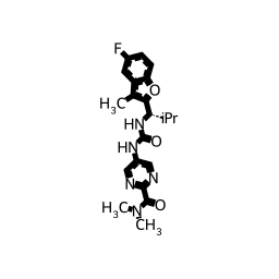 Cc1c([C@@H](NC(=O)Nc2cnc(C(=O)N(C)C)nc2)C(C)C)oc2ccc(F)cc12